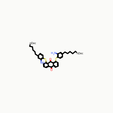 CCCCCCCCCCCCCCCc1ccc(Sc2cccc3c2C(=O)c2c(Sc4ccc(CCCCCCCCCCCCCCC)cc4N)cccc2C3=O)c(N)c1